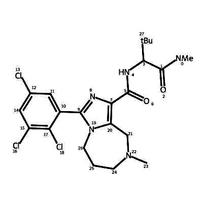 CNC(=O)C(NC(=O)c1nc(-c2cc(Cl)cc(Cl)c2Cl)n2c1CN(C)CCC2)C(C)(C)C